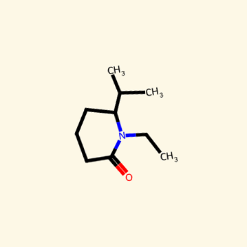 CCN1C(=O)CCCC1C(C)C